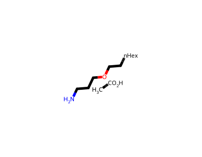 CC(=O)O.CCCCCCCCOCCCN